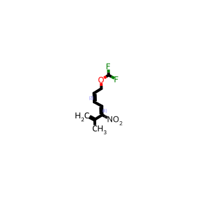 C=C(C)/C(=C\C=C/COC(F)F)[N+](=O)[O-]